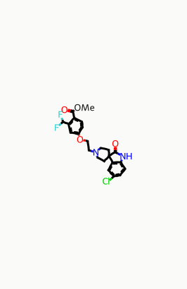 COC(=O)c1ccc(OCCN2CCC3(CC2)C(=O)Nc2ccc(Cl)cc23)cc1C(F)F